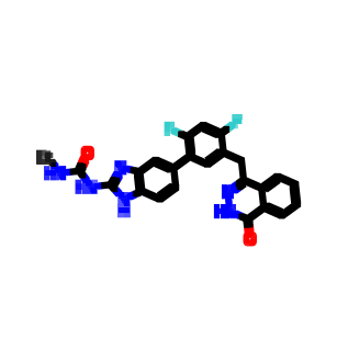 CCNC(=O)Nc1nc2cc(-c3cc(Cc4n[nH]c(=O)c5ccccc45)c(F)cc3F)ccc2[nH]1